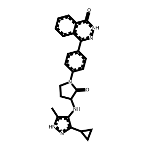 Cc1[nH]nc(C2CC2)c1NC1CCN(c2ccc(-c3n[nH]c(=O)c4ccccc34)cc2)C1=O